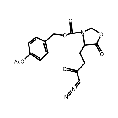 CC(=O)Oc1ccc(COC(=O)N2COC(=O)C2CCC(=O)C=[N+]=[N-])cc1